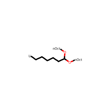 [Li][CH2]CCCCC(OCCCCCCCC)OCCCCCCCC